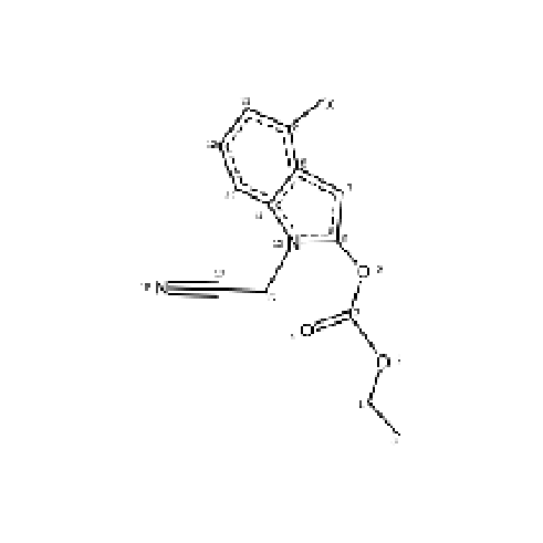 CCOC(=O)Oc1cc2c(C)cccc2n1CC#N